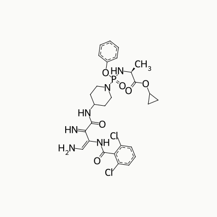 C[C@H](NP(=O)(Oc1ccccc1)N1CCC(NC(=O)C(=N)/C(=C\N)NC(=O)c2c(Cl)cccc2Cl)CC1)C(=O)OC1CC1